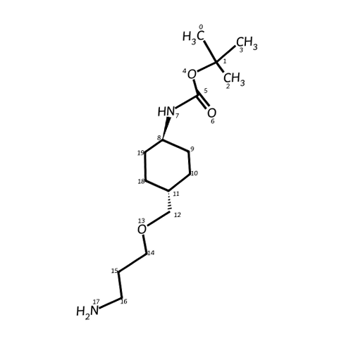 CC(C)(C)OC(=O)N[C@H]1CC[C@H](COCCCN)CC1